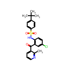 Cc1ncccc1C(=O)c1cc(Cl)ccc1NS(=O)(=O)c1ccc(C(C)(C)C)cc1